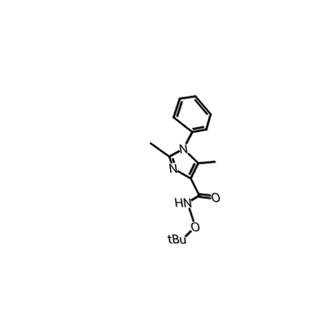 Cc1nc(C(=O)NOC(C)(C)C)c(C)n1-c1ccccc1